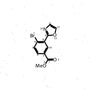 COC(=O)c1ccc(Br)c(-c2ncco2)c1